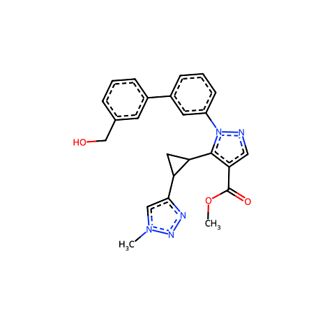 COC(=O)c1cnn(-c2cccc(-c3cccc(CO)c3)c2)c1C1CC1c1cn(C)nn1